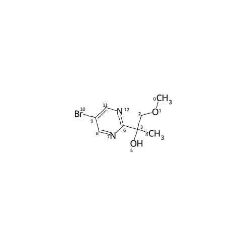 COCC(C)(O)c1ncc(Br)cn1